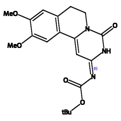 COc1cc2c(cc1OC)-c1c/c(=N\C(=O)OC(C)(C)C)[nH]c(=O)n1CC2